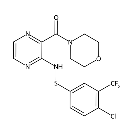 O=C(c1nccnc1NSc1ccc(Cl)c(C(F)(F)F)c1)N1CCOCC1